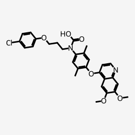 COc1cc2nccc(Oc3cc(C)c(N(CCCOc4ccc(Cl)cc4)C(=O)O)cc3C)c2cc1OC